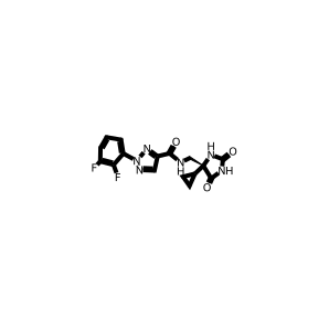 O=C1NC(=O)[C@](CNC(=O)c2cnn(-c3cccc(F)c3F)n2)(C2CC2)N1